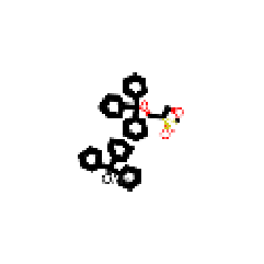 COC(c1ccccc1)(c1ccccc1)c1ccccc1.[O-][S+]1COCC1COC(c1ccccc1)(c1ccccc1)c1ccccc1